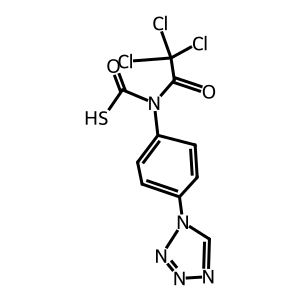 O=C(S)N(C(=O)C(Cl)(Cl)Cl)c1ccc(-n2cnnn2)cc1